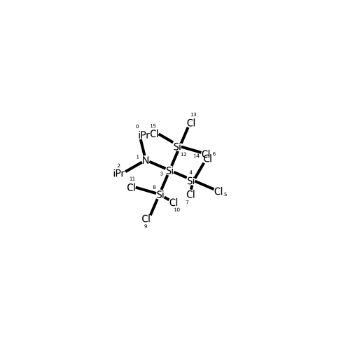 CC(C)N(C(C)C)[Si]([Si](Cl)(Cl)Cl)([Si](Cl)(Cl)Cl)[Si](Cl)(Cl)Cl